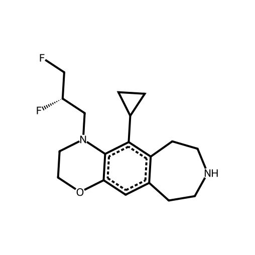 FC[C@@H](F)CN1CCOc2cc3c(c(C4CC4)c21)CCNCC3